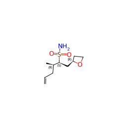 C=CC[C@@H](C)[C@H](C[C@H]1CCO1)S(N)(=O)=O